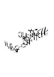 COc1ccc(-c2ccc3nc4n(c3c2)[C@H](c2ccccc2)[C@@H]2CN(C(=O)NC(C)(C)C)C[C@H]42)cn1